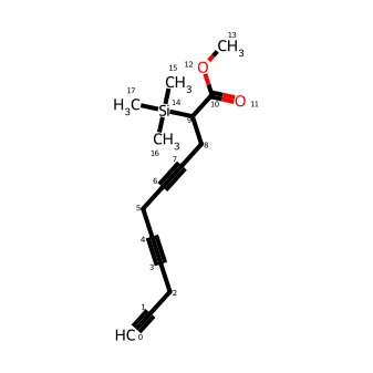 C#CCC#CCC#CCC(C(=O)OC)[Si](C)(C)C